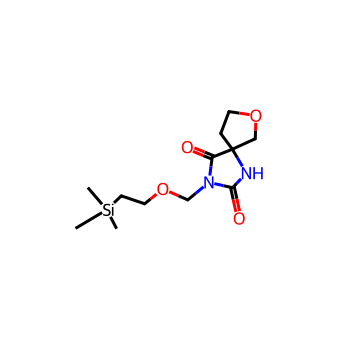 C[Si](C)(C)CCOCN1C(=O)NC2(CCOC2)C1=O